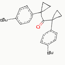 CC(C)(C)c1ccc(C2(C(=O)C3(c4ccc(C(C)(C)C)cc4)CC3)CC2)cc1